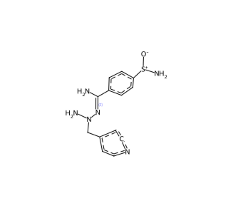 N/C(=N\N(N)Cc1ccncc1)c1ccc([S+](N)[O-])cc1